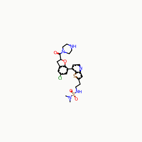 CN(C)S(=O)(=O)NCCc1cc2nccc(-c3cc(Cl)cc4c3OC(C(=O)N3CCNCC3)C4)c2s1